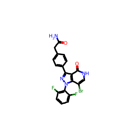 NC(=O)Cc1ccc(-c2nn(-c3c(F)cccc3F)c3c(Br)c[nH]c(=O)c23)cc1